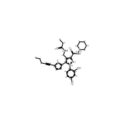 CCCC#Cc1ccc(-c2c(CNC(=O)CC)c(C(=O)NN3CCCCC3)nn2-c2ccc(Cl)cc2Cl)s1